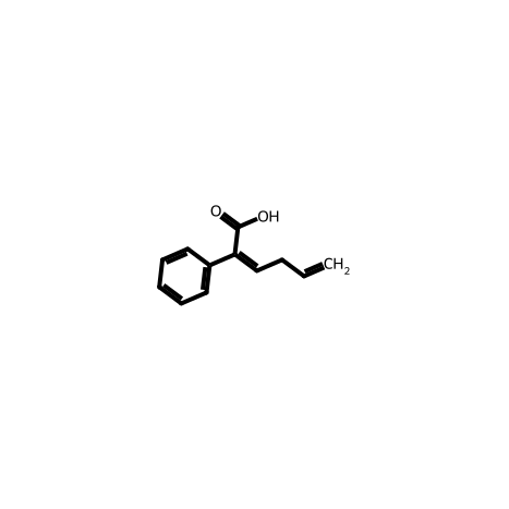 C=CCC=C(C(=O)O)c1ccccc1